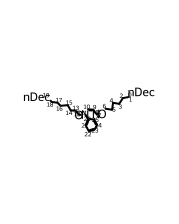 CCCCCCCCCCCCCCCCON1C=CN(OCCCCCCCCCCCCCCCC)c2ccccc21